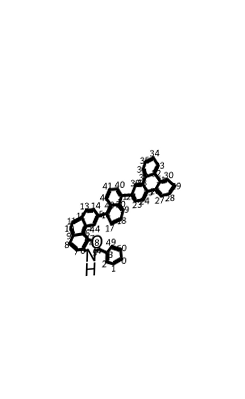 c1ccc(C2Nc3ccc4ccc5ccc(-c6cccc7c(-c8ccc9c%10ccccc%10c%10ccccc%10c9c8)cccc67)cc5c4c3O2)cc1